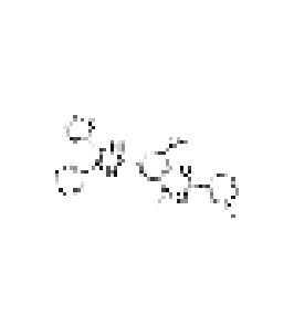 COc1cc(-c2nc(-c3ccccc3)c(-c3cccs3)[nH]2)cc(OC)c1OC(=O)C1=CN(C)C=CC1